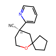 N#C[C@@]1(c2ccccn2)CCOC2(CCCC2)C1